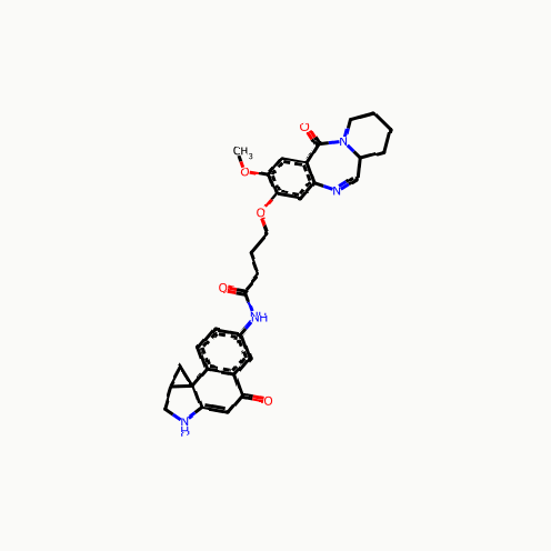 COc1cc2c(cc1OCCCC(=O)Nc1ccc3c(c1)C(=O)C=C1NCC4CC134)N=CC1CCCCN1C2=O